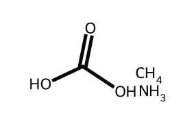 C.N.O=C(O)O